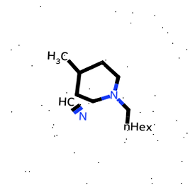 C#N.CCCCCCCN1CCC(C)CC1